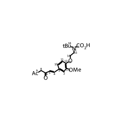 COc1cc(/C=C/C(=O)CC(C)=O)ccc1OCCN(C(=O)O)C(C)(C)C